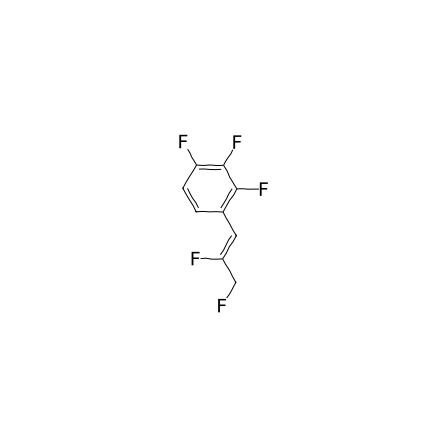 FCC(F)=Cc1ccc(F)c(F)c1F